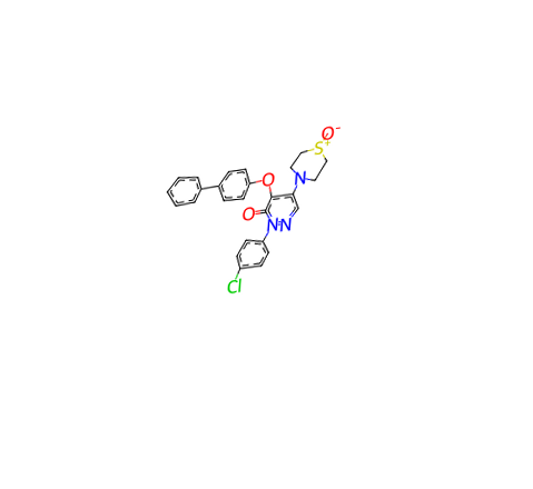 O=c1c(Oc2ccc(-c3ccccc3)cc2)c(N2CC[S+]([O-])CC2)cnn1-c1ccc(Cl)cc1